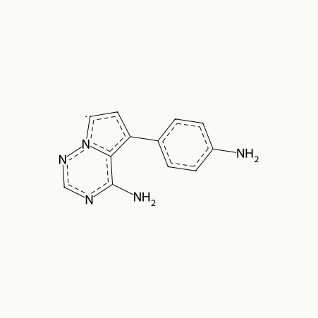 Nc1ccc(-c2c[c]n3ncnc(N)c23)cc1